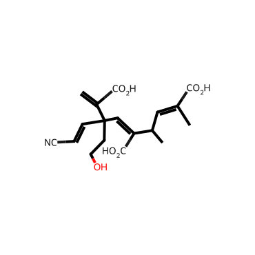 C=C(C(=O)O)C(C=CC#N)(C=C(C(=O)O)C(C)C=C(C)C(=O)O)CCO